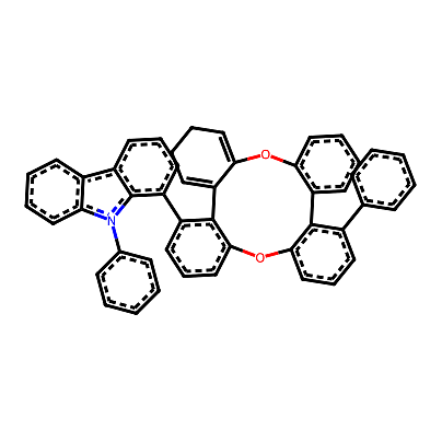 C1=C2Oc3ccccc3-c3c(cccc3-c3ccccc3)Oc3cccc(-c4cccc5c6ccccc6n(-c6ccccc6)c45)c3C2=CCC1